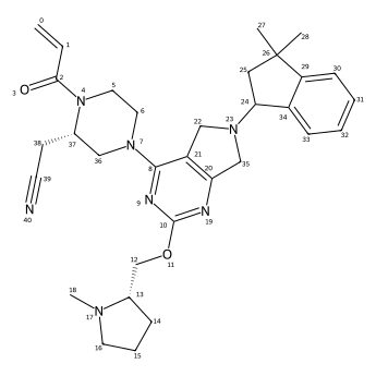 C=CC(=O)N1CCN(c2nc(OC[C@@H]3CCCN3C)nc3c2CN(C2CC(C)(C)c4ccccc42)C3)C[C@@H]1CC#N